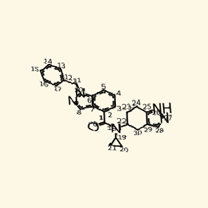 O=C(c1cccc2c1cnn2Cc1ccccc1)N(C1CC1)C1CCc2[nH]ncc2C1